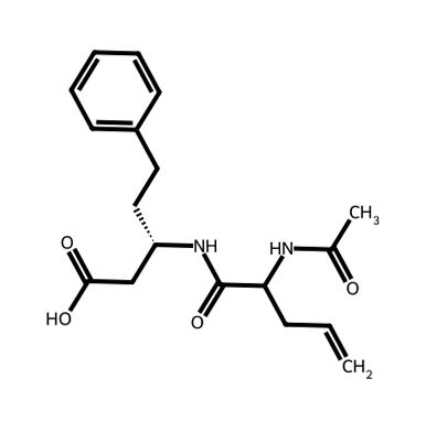 C=CCC(NC(C)=O)C(=O)N[C@@H](CCc1ccccc1)CC(=O)O